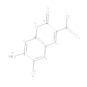 O=C(Cl)c1cc2cc(Cl)c(O)cc2oc1=O